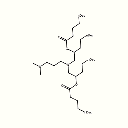 CCCCCCCCCCCCCC(=O)OC(CCCCCCCCCCCC)CN(CCCN(C)C)CC(CCCCCCCCCCCC)OC(=O)CCCCCCCCCCCCC